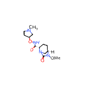 CON1C(=O)N2C[C@H]1CC[C@H]2C(=O)NO[C@H]1CCN(C)C1